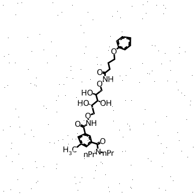 CCCN(CCC)C(=O)c1cc(C)cc(C(=O)NOC[C@H](O)[C@H](O)C(O)CONC(=O)CCCOc2ccccc2)c1